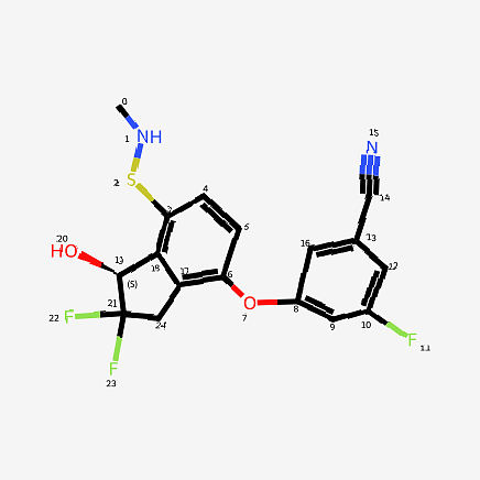 CNSc1ccc(Oc2cc(F)cc(C#N)c2)c2c1[C@H](O)C(F)(F)C2